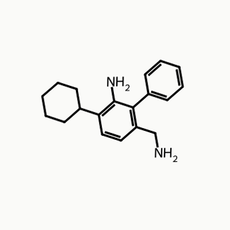 NCc1ccc(C2CCCCC2)c(N)c1-c1ccccc1